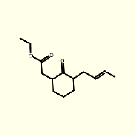 C/C=C/CC1CCCC(CC(=O)OCC)C1=O